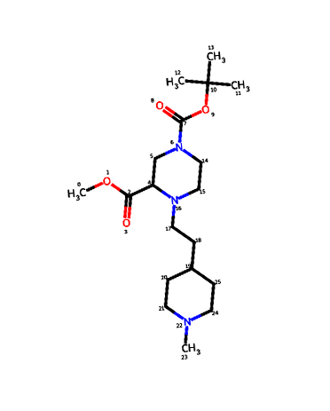 COC(=O)C1CN(C(=O)OC(C)(C)C)CCN1CCC1CCN(C)CC1